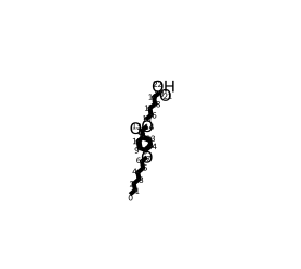 CCCCCCCOc1ccc(C(=O)OCCCCCC(=O)O)cc1